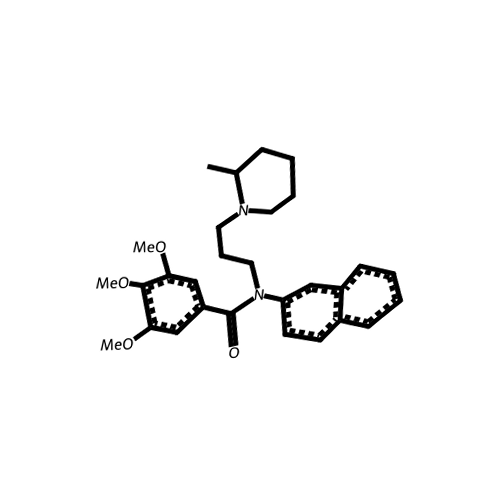 COc1cc(C(=O)N(CCCN2CCCCC2C)c2ccc3ccccc3c2)cc(OC)c1OC